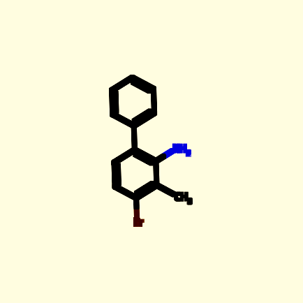 Cc1c(Br)ccc(-c2ccccc2)c1N